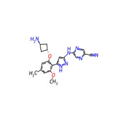 COc1cc(C)cc(O[C@H]2C[C@H](N)C2)c1-c1cc(Nc2cnc(C#N)cn2)n[nH]1